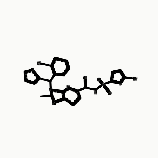 Cc1nc2ccc(C(=O)NS(=O)(=O)c3ccc(Br)s3)nc2n1C(c1cccs1)c1ccccc1Cl